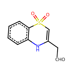 O=CCC1=CS(=O)(=O)c2ccccc2N1